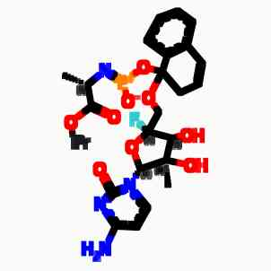 CC(C)OC(=O)[C@H](C)N=[P+]([O-])OC1(OC[C@@]2(F)O[C@@H](n3ccc(N)nc3=O)[C@](C)(O)[C@@H]2O)CC=Cc2ccccc21